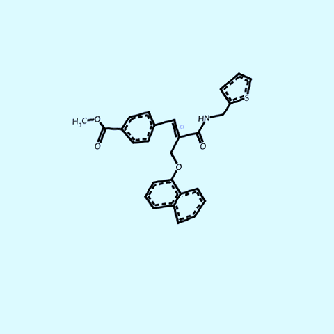 COC(=O)c1ccc(/C=C(\COc2cccc3ccccc23)C(=O)NCc2cccs2)cc1